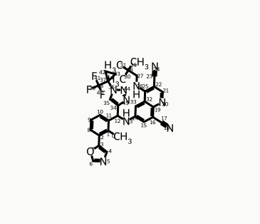 Cc1c(-c2cnco2)cccc1C(Nc1cc(C#N)c2ncc(C#N)c(NCC(C)(C)C)c2c1)c1cn(C2(C(F)(F)F)CC2)nn1